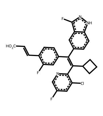 O=C(O)C=Cc1ccc(C(=C(c2ncc(F)cc2Cl)C2CCC2)c2ccc3[nH]nc(F)c3c2)cc1F